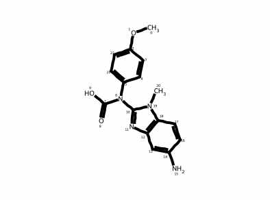 COc1ccc(N(C(=O)O)c2nc3cc(N)ccc3n2C)cc1